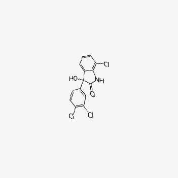 O=C1Nc2c(Cl)cccc2C1(O)c1ccc(Cl)c(Cl)c1